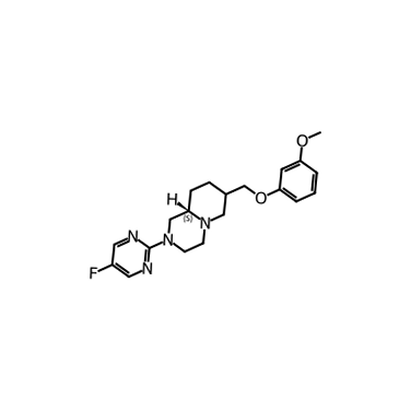 COc1cccc(OCC2CC[C@H]3CN(c4ncc(F)cn4)CCN3C2)c1